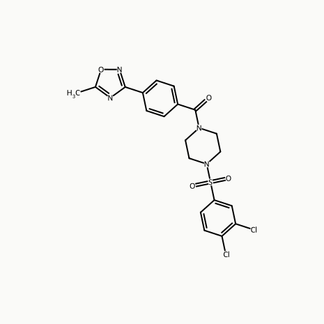 Cc1nc(-c2ccc(C(=O)N3CCN(S(=O)(=O)c4ccc(Cl)c(Cl)c4)CC3)cc2)no1